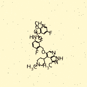 COc1ncc(F)cc1S(=O)(=O)Nc1ccc(F)c(COc2cnc3[nH]nc(C)c3c2C2CCN(C)CC2)c1F